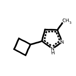 Cc1cc(C2CCC2)[nH]n1